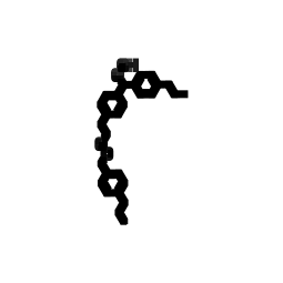 CCCc1ccc(COOCCc2ccc(C(OO)c3ccc(CCC)cc3)cc2)cc1